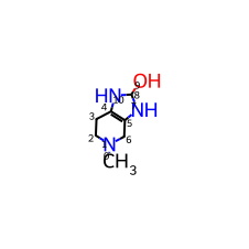 CN1CCC2=C(C1)NC(O)N2